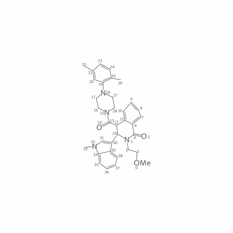 COCCN1C(=O)c2ccccc2C(C(=O)N2CCN(c3cc(C)ccc3C)CC2)C1c1cn(C)c2ccccc12